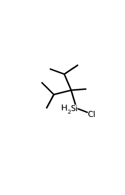 CC(C)C(C)([SiH2]Cl)C(C)C